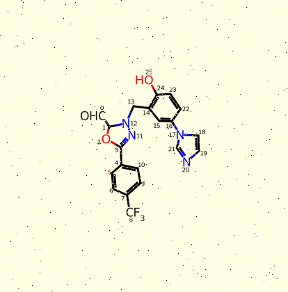 O=CC1OC(c2ccc(C(F)(F)F)cc2)=NN1Cc1cc(-n2ccnc2)ccc1O